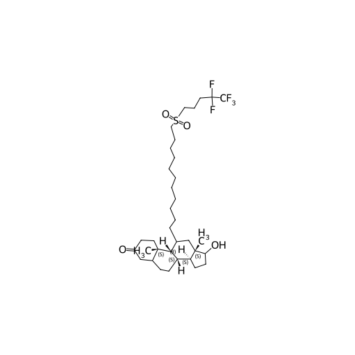 C[C@]12CCC(=O)CC1CC[C@@H]1[C@H]2C(CCCCCCCCCCCS(=O)(=O)CCCC(F)(F)C(F)(F)F)C[C@]2(C)C(O)CC[C@@H]12